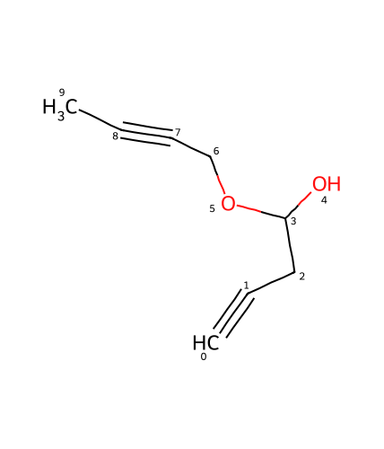 C#CCC(O)OCC#CC